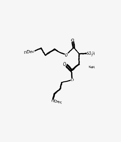 CCCCCCCCCCCCCOC(=O)CC(C(=O)OCCCCCCCCCCCCC)S(=O)(=O)O.[NaH]